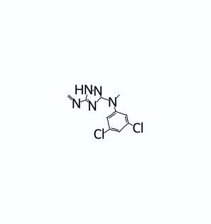 C=Nc1nc(N(C)c2cc(Cl)cc(Cl)c2)n[nH]1